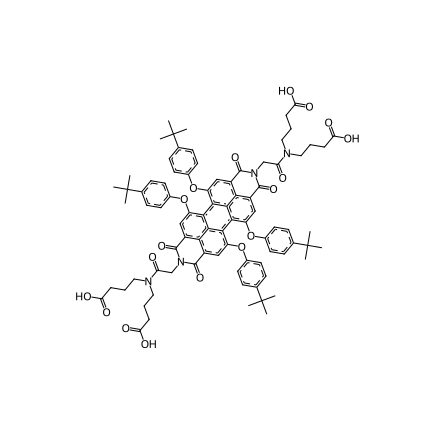 CC(C)(C)c1ccc(Oc2cc3c4c(cc(Oc5ccc(C(C)(C)C)cc5)c5c6c(Oc7ccc(C(C)(C)C)cc7)cc7c8c(cc(Oc9ccc(C(C)(C)C)cc9)c(c2c45)c86)C(=O)N(CC(=O)N(CCCC(=O)O)CCCC(=O)O)C7=O)C(=O)N(CC(=O)N(CCCC(=O)O)CCCC(=O)O)C3=O)cc1